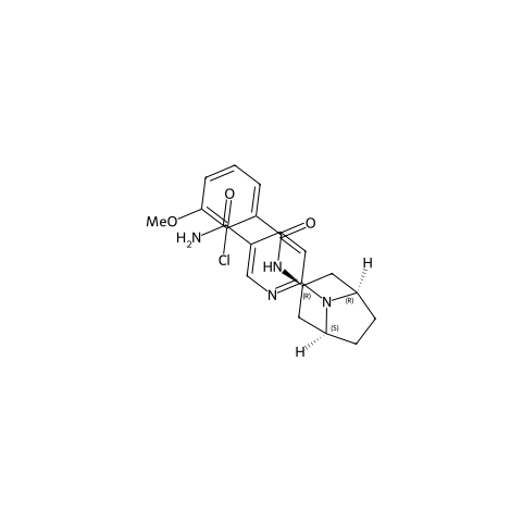 COc1cccc(C(=O)N[C@H]2C[C@H]3CC[C@@H](C2)N3c2ccc(C(N)=O)cn2)c1Cl